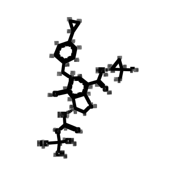 CC(C)(C)OC(=O)N[C@H]1CSc2c(C(=O)N[C@@H]3CC3(F)F)cn(Cc3ccc(C4CC4)cc3)c(=O)c21